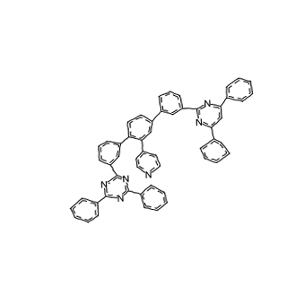 c1ccc(-c2cc(-c3ccccc3)nc(-c3cccc(-c4ccc(-c5cccc(-c6nc(-c7ccccc7)nc(-c7ccccc7)n6)c5)c(-c5ccncc5)c4)c3)n2)cc1